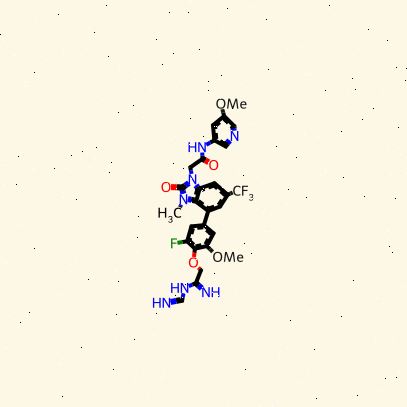 COc1cncc(NC(=O)Cn2c(=O)n(C)c3c(-c4cc(F)c(OCC(=N)NC=N)c(OC)c4)cc(C(F)(F)F)cc32)c1